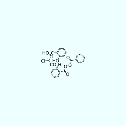 O=C(O)C(Cl)Cl.O=C(O)c1ccccc1O.O=C(OOC(=O)c1ccccc1)c1ccccc1